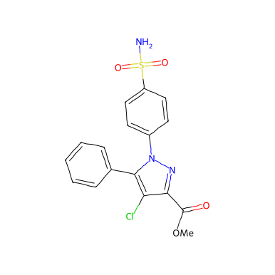 COC(=O)c1nn(-c2ccc(S(N)(=O)=O)cc2)c(-c2ccccc2)c1Cl